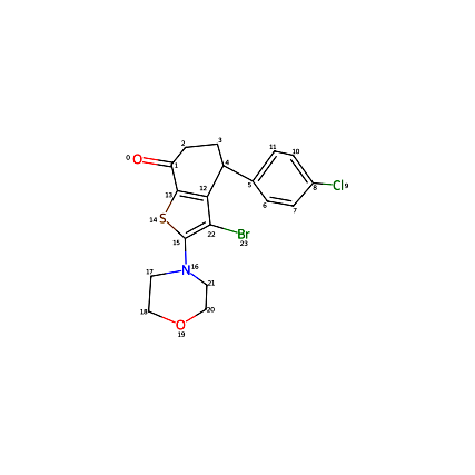 O=C1CCC(c2ccc(Cl)cc2)c2c1sc(N1CCOCC1)c2Br